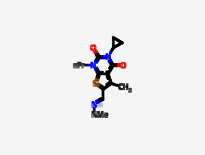 CCCn1c(=O)n(C2CC2)c(=O)c2c(C)c(/C=N/NC)sc21